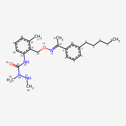 CCCCCc1cccc(C(C)=NOCc2c(C)cccc2NC(=O)N(C)NC)c1